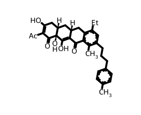 CCc1cc(CCCc2ccc(C)cc2)c(C)c2c1C[C@H]1C[C@H]3CC(O)=C(C(C)=O)C(=O)[C@@]3(O)C(O)=C1C2=O